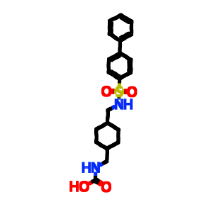 O=C(O)NCC1CCC(CNS(=O)(=O)c2ccc(-c3ccccc3)cc2)CC1